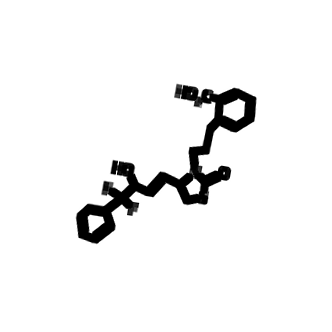 O=C(O)c1ccccc1CCCN1C(=O)SCC1C=CC(O)C(F)(F)c1ccccc1